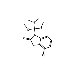 COC(OC)(N(C)C)N1C(=O)Cc2c(Cl)cccc21